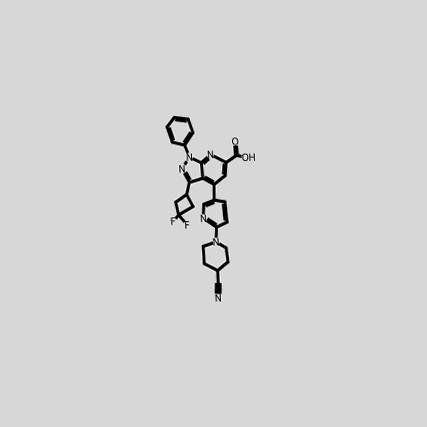 N#CC1CCN(c2ccc(-c3cc(C(=O)O)nc4c3c(C3CC(F)(F)C3)nn4-c3ccccc3)cn2)CC1